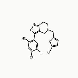 Oc1cc(O)c(-c2onc3c2CN(Cc2ccc(Cl)s2)CC3)cc1Cl